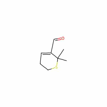 CC1(C)SCCC=C1C=O